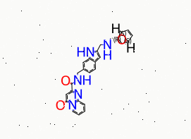 O=C(NCc1ccc2cc(CNC[C@H]3C[C@H]4C=C[C@@H]3O4)[nH]c2c1)c1cc(=O)n2ccccc2n1